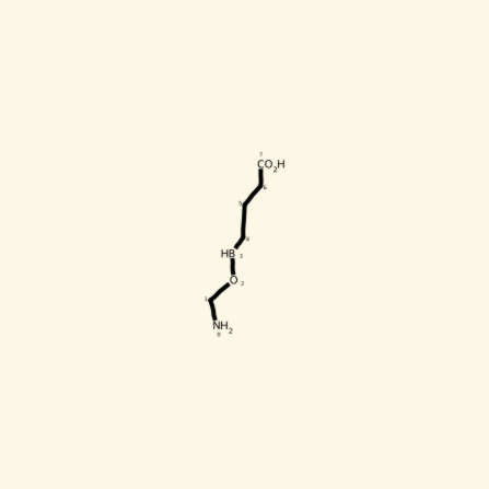 NCOBCCCC(=O)O